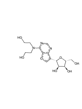 OCCN(CCO)c1ncnc2c([C@@H]3O[C@H](CO)[C@@H](O)[C@H]3O)coc12